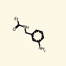 CCC(=O)NCc1cccc(N)c1